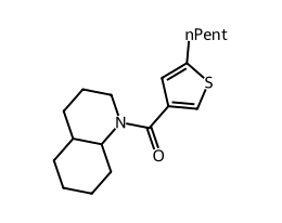 CCCCCc1cc(C(=O)N2CCCC3CCCCC32)cs1